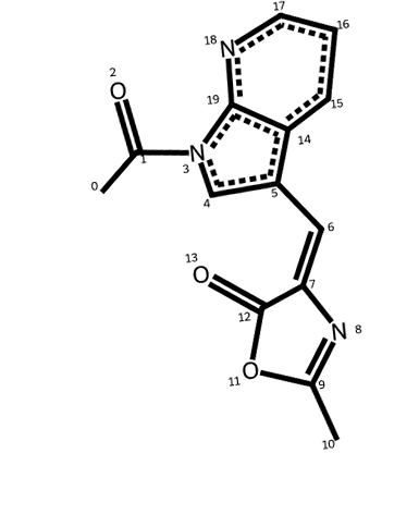 CC(=O)n1cc(C=C2N=C(C)OC2=O)c2cccnc21